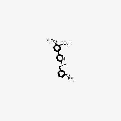 O=C(O)c1cc(-c2ccc(NCc3cccc(OC(F)(F)F)c3)nc2)ccc1OC(F)(F)F